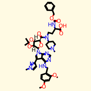 COc1ccc(CNc2ncnc3c2c(-c2ccn(C)n2)cn3[C@@H]2O[C@H](C(=O)N(CCC(NC(=O)OCc3ccccc3)C(=O)O)C3CCN(C)CC3)[C@H]3OC(C)(C)O[C@H]32)c(OC)c1